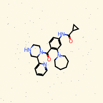 O=C(Nc1ccc(C(=O)N2CCNCC2c2ccccn2)c(N2CCCCCC2)c1)C1CC1